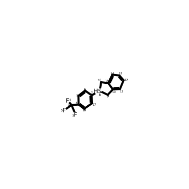 FC(F)(F)c1ccc([SH]2Cc3c[c]ccc3C2)cc1